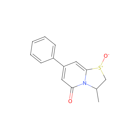 CC1C[S+]([O-])c2cc(-c3ccccc3)cc(=O)n21